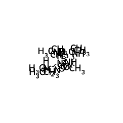 C[C@H](CCCCNC(C)(C)C)C(=O)NC(CCCCNC(C)(C)C)C(=O)N[C@@H](CCCCNC(C)(C)C)C(N)=O